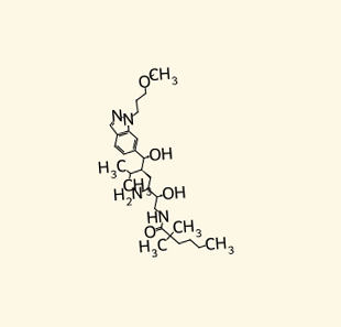 CCCCC(C)(C)C(=O)NC[C@H](O)[C@@H](N)C[C@@H](C(C)C)[C@H](O)c1ccc2cnn(CCCOC)c2c1